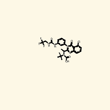 CC(c1nc2cccc(Cl)c2c(=O)n1-c1cccc(NC(=O)NCC(F)(F)F)c1)N(C(=O)O)C(C)(C)C